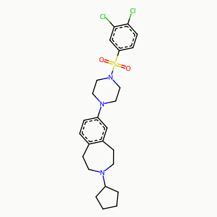 O=S(=O)(c1ccc(Cl)c(Cl)c1)N1CCN(c2ccc3c(c2)CCN(C2CCCC2)CC3)CC1